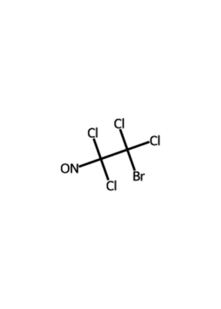 O=NC(Cl)(Cl)C(Cl)(Cl)Br